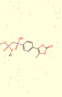 CCOP(=O)(CP(=O)(O)c1ccc(-c2oc(=O)oc2C)cc1)OCC